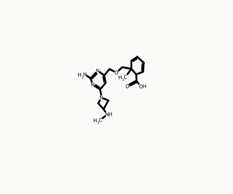 CNC1CN(c2cc(COCC3(C)C=CC=CC3C(=O)O)nc(N)n2)C1